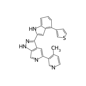 Cc1ccncc1-c1cc2c(-c3cc4c(-c5ccsc5)cccc4[nH]3)n[nH]c2cn1